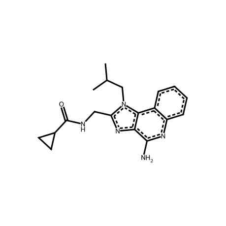 CC(C)Cn1c(CNC(=O)C2CC2)nc2c(N)nc3ccccc3c21